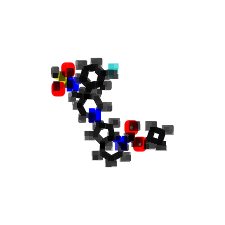 CS(=O)(=O)N1CC2(CCN(C3CC4CCCN(C(=O)OC5CCC5)C4C3)CC2)c2cc(F)ccc21